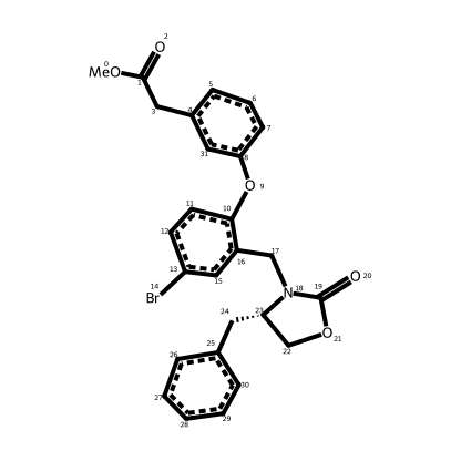 COC(=O)Cc1cccc(Oc2ccc(Br)cc2CN2C(=O)OC[C@@H]2Cc2ccccc2)c1